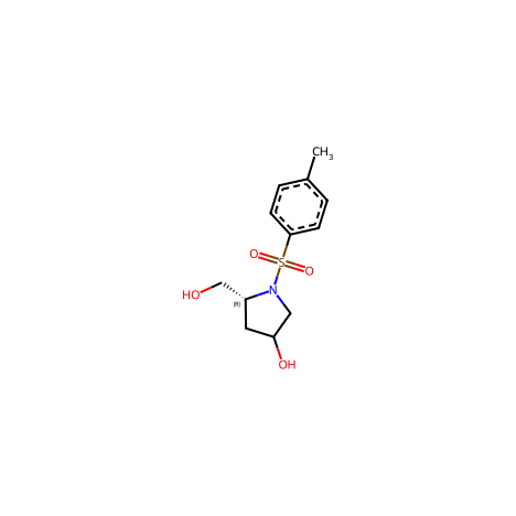 Cc1ccc(S(=O)(=O)N2CC(O)C[C@@H]2CO)cc1